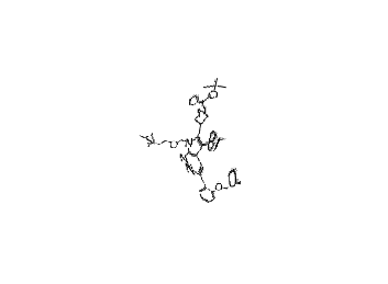 COCOc1ccccc1-c1cc2c(Br)c(C3CN(C(=O)OC(C)(C)C)C3)n(COCC[Si](C)(C)C)c2nn1